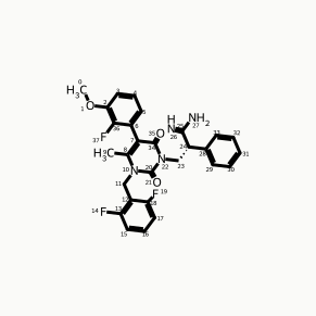 COc1cccc(-c2c(C)n(Cc3c(F)cccc3F)c(=O)n(C[C@H](C(=N)N)c3ccccc3)c2=O)c1F